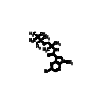 Cn1cc(C(=O)NC(C)(C)CO[Si](C)(C)C(C)(C)C)c2nc(Br)cnc21